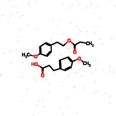 CCC(=O)OCCc1ccc(OC)cc1.COc1ccc(CCC(=O)O)cc1